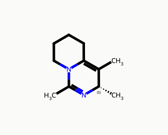 CC1=N[C@@H](C)C(C)=C2CCCCN12